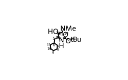 CNC[C@H](O)[C@H](CC1CCCCC1)NC(=O)OC(C)(C)C